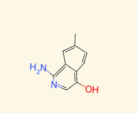 Cc1ccc2c(O)cnc(N)c2c1